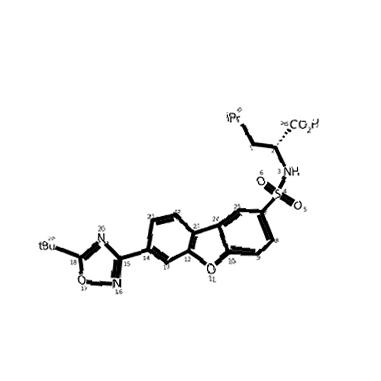 CC(C)C[C@@H](NS(=O)(=O)c1ccc2oc3cc(-c4noc(C(C)(C)C)n4)ccc3c2c1)C(=O)O